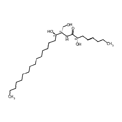 CCCCCCCCCCCCCCC[C@@H](O)[C@H](CO)NC(=O)[C@@H](O)CCCCCC